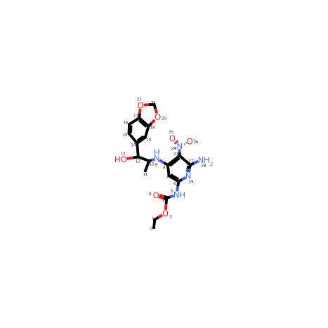 CCOC(=O)Nc1cc(NC(C)C(O)c2ccc3c(c2)OCO3)c([N+](=O)[O-])c(N)n1